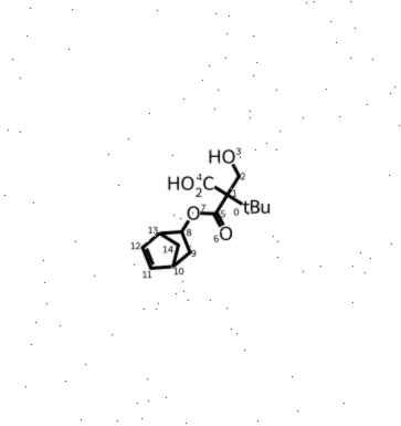 CC(C)(C)C(CO)(C(=O)O)C(=O)OC1CC2C=CC1C2